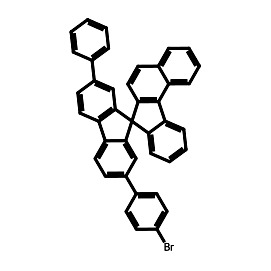 Brc1ccc(-c2ccc3c(c2)C2(c4cc(-c5ccccc5)ccc4-3)c3ccccc3-c3c2ccc2ccccc32)cc1